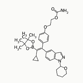 CC1(C)OB(/C(=C(\c2ccc(OCCOC(N)=O)cc2)c2ccc3c(cnn3C3CCCCO3)c2)C2CC2)OC1(C)C